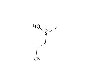 C[SiH](O)CCC#N